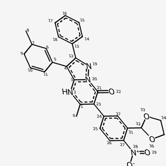 Cc1[nH]c2c(C3=CC(C)CC=C3)c(-c3ccccc3)nn2c(=O)c1-c1ccc([N+](=O)[O-])c(C2OCCO2)c1